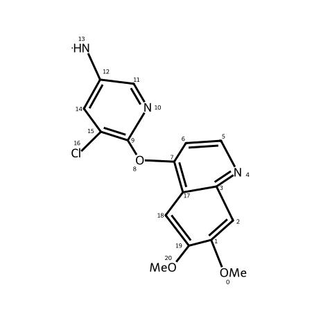 COc1cc2nccc(Oc3ncc([NH])cc3Cl)c2cc1OC